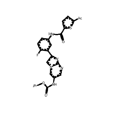 CC(=O)c1ccc(C(=O)Nc2ccc(F)c(-c3cn4cc(NC(=O)OC(C)C)cnc4n3)c2)s1